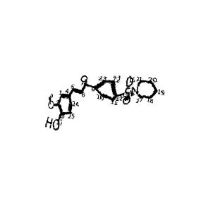 COc1cc(/C=C/C(=O)c2ccc(S(=O)(=O)N3CCCCC3)cc2)ccc1O